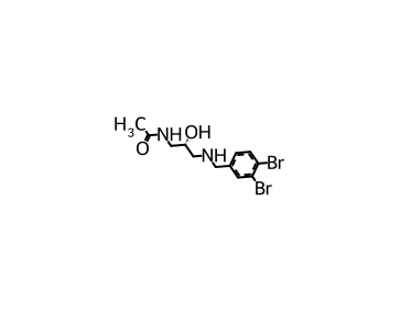 CC(=O)NC[C@H](O)CNCc1ccc(Br)c(Br)c1